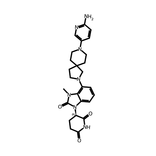 Cn1c(=O)n([C@@H]2CCC(=O)NC2=O)c2cccc(N3CCC4(CCN(c5ccc(N)nc5)CC4)C3)c21